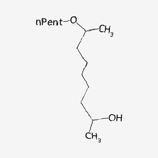 CCCCCOC(C)CCCCCC(C)O